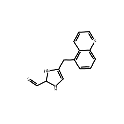 S=CC1NC=C(Cc2cccc3ncccc23)N1